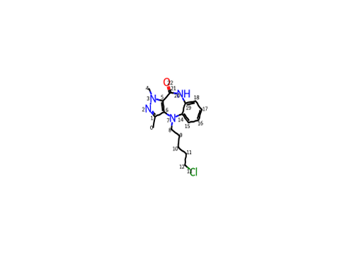 Cc1nn(C)c2c1N(CCCCCCl)c1ccccc1NC2=O